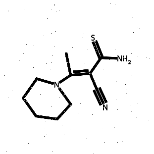 C/C(=C(/C#N)C(N)=S)N1CCCCC1